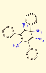 NC1=C(c2ccccc2)C(N)C(N)(c2ccccc2)C(N)=C1c1ccccc1